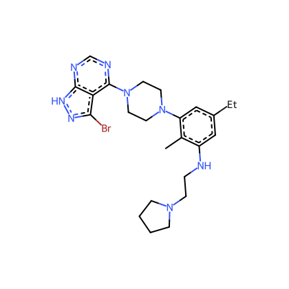 CCc1cc(NCCN2CCCC2)c(C)c(N2CCN(c3ncnc4[nH]nc(Br)c34)CC2)c1